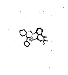 NC1=NS(=O)(=O)Nc2cccc(OC[C@H]3CCCCN3C(=O)C3CCCC3)c21